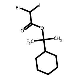 CCC(I)C(=O)OC(C)(C1CCCCC1)C(F)(F)F